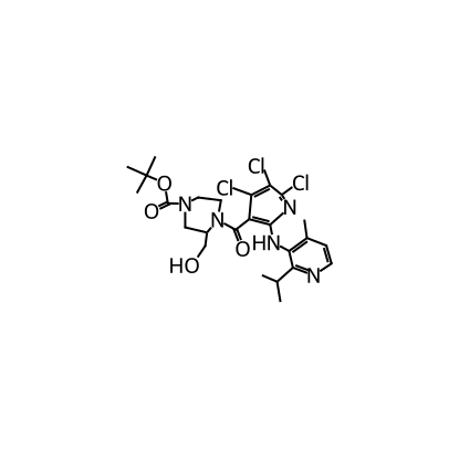 Cc1ccnc(C(C)C)c1Nc1nc(Cl)c(Cl)c(Cl)c1C(=O)N1CCN(C(=O)OC(C)(C)C)CC1CO